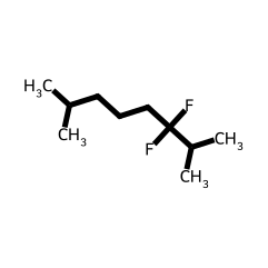 CC(C)CCCC(F)(F)C(C)C